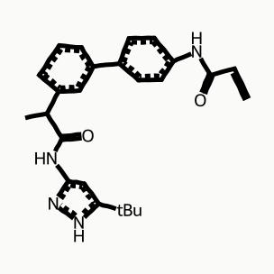 C=CC(=O)Nc1ccc(-c2cccc(C(C)C(=O)Nc3cc(C(C)(C)C)[nH]n3)c2)cc1